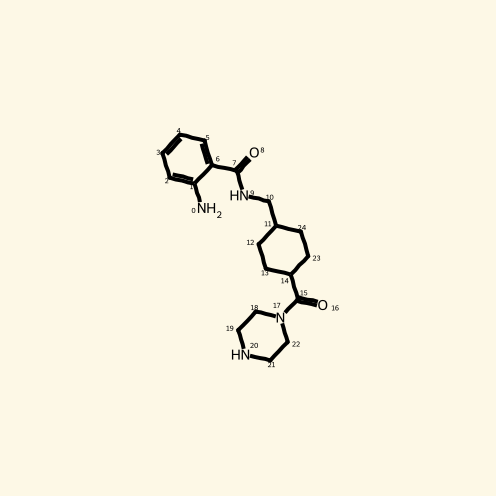 Nc1ccccc1C(=O)NCC1CCC(C(=O)N2CCNCC2)CC1